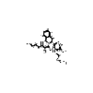 CSCC[C@H](NC(=O)[C@H]1Cc2ccccc2CN1C(=O)[C@H](C)NCCCS)C(=O)O